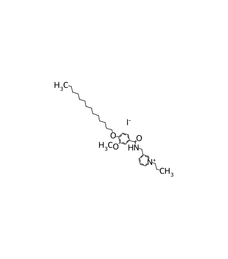 CCCCCCCCCCCCCCOc1ccc(C(=O)NCc2ccc[n+](CCC)c2)cc1OC.[I-]